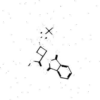 COC(=O)[C@]1(N2C(=O)c3ccccc3C2=O)C[C@H](OS(=O)(=O)C(F)(F)F)C1